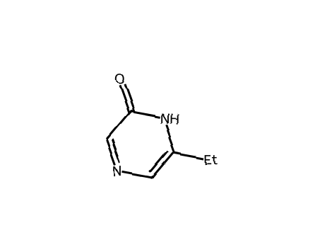 CCc1cncc(=O)[nH]1